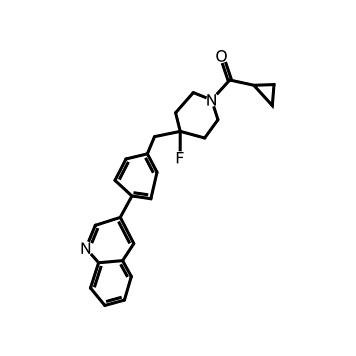 O=C(C1CC1)N1CCC(F)(Cc2ccc(-c3cnc4ccccc4c3)cc2)CC1